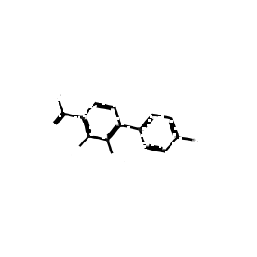 Cc1c(C(=O)O)ccc(-c2ccc(N)cc2)c1C